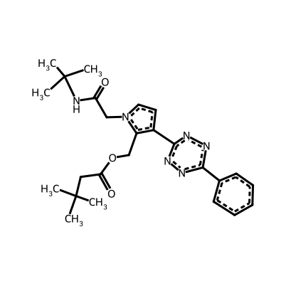 CC(C)(C)CC(=O)OCc1c(-c2nnc(-c3ccccc3)nn2)ccn1CC(=O)NC(C)(C)C